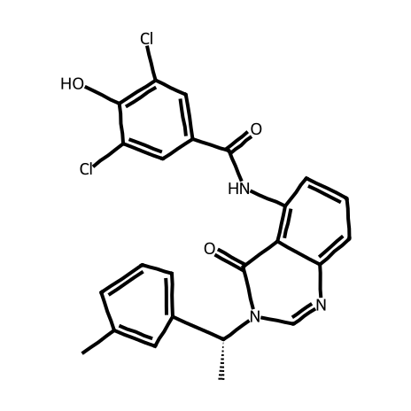 Cc1cccc([C@@H](C)n2cnc3cccc(NC(=O)c4cc(Cl)c(O)c(Cl)c4)c3c2=O)c1